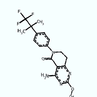 COc1nc(N)c2c(n1)CCN(c1ccc(C(C)(C)C(F)(F)F)cc1)C2=O